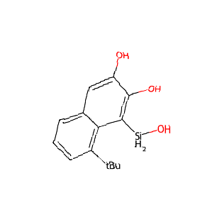 CC(C)(C)c1cccc2cc(O)c(O)c([SiH2]O)c12